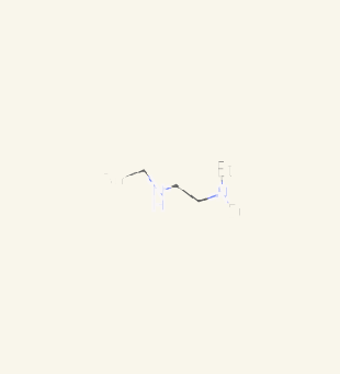 CCN(CC)CCNCC(C)(C)C